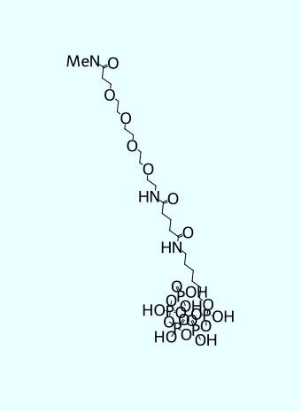 CNC(=O)CCOCCOCCOCCOCCNC(=O)CCCC(=O)NCCCCCCOP(=O)(O)OP(=O)(O)OP(=O)(O)OP(=O)(O)OP(=O)(O)O